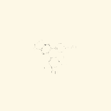 CCCCN1CCN(c2cc3c(cc2C2=CC(C)(C)CC(C)(C)C2)OCO3)CC1.Cl